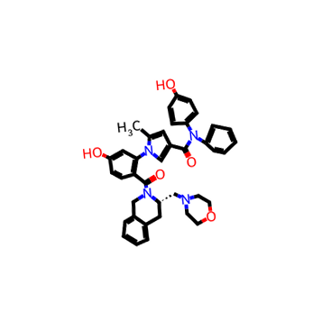 Cc1cc(C(=O)N(c2ccccc2)c2ccc(O)cc2)cn1-c1cc(O)ccc1C(=O)N1Cc2ccccc2C[C@H]1CN1CCOCC1